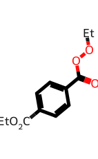 CCOOC(=O)c1ccc(C(=O)OCC)cc1